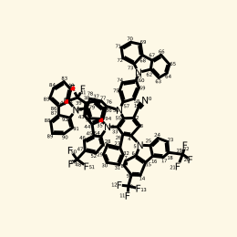 N#Cc1cc(-n2c3ccc(C(F)(F)F)cc3c3cc(C(F)(F)F)ccc32)c(-c2ccccc2)c(-n2c3ccc(C(F)(F)F)cc3c3cc(C(F)(F)F)ccc32)c1N(c1ccc(-n2c3ccccc3c3ccccc32)cc1)c1ccc(-n2c3ccccc3c3ccccc32)cc1